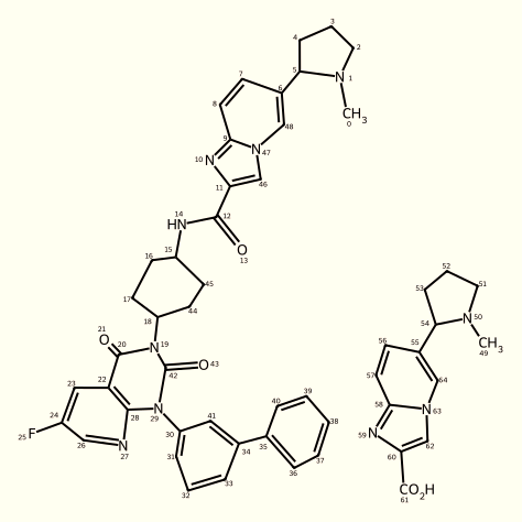 CN1CCCC1c1ccc2nc(C(=O)NC3CCC(n4c(=O)c5cc(F)cnc5n(-c5cccc(-c6ccccc6)c5)c4=O)CC3)cn2c1.CN1CCCC1c1ccc2nc(C(=O)O)cn2c1